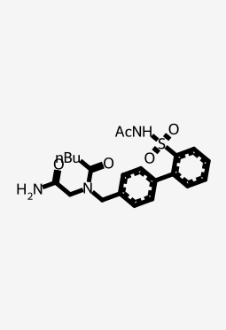 CCCCC(=O)N(CC(N)=O)Cc1ccc(-c2ccccc2S(=O)(=O)NC(C)=O)cc1